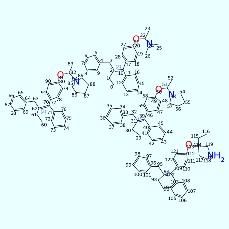 CC/C(Cc1ccccc1)=C(\c1ccccc1)c1ccc(OC(C)N(C)C)cc1.CC/C(Cc1ccccc1)=C(\c1ccccc1)c1ccc(OC(C)N2CCCC2)cc1.CC/C(Cc1ccccc1)=C(\c1ccccc1)c1ccc(OC(C)N2CCCCC2)cc1.CC/C(Cc1ccccc1)=C(\c1ccccc1)c1ccc(OC(CC)(CC)CN)cc1